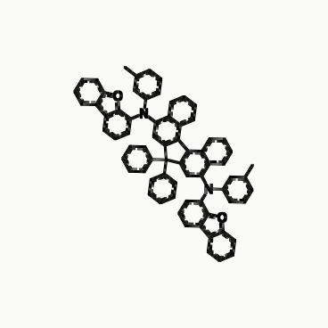 Cc1cccc(N(c2cc3c(c4ccccc24)-c2c(cc(N(c4cccc(C)c4)c4cccc5c4oc4ccccc45)c4ccccc24)C3(c2ccccc2)c2ccccc2)c2cccc3c2oc2ccccc23)c1